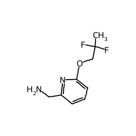 CC(F)(F)COc1cccc(CN)n1